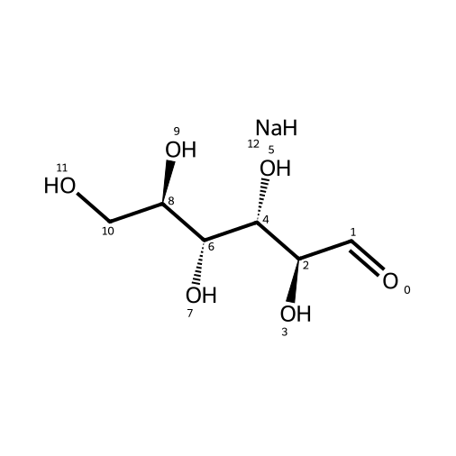 O=C[C@@H](O)[C@@H](O)[C@H](O)[C@H](O)CO.[NaH]